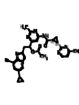 CC(=O)OC(Cc1cn2cc(C3CC3)cc(Br)c2n1)c1cc(NC(=O)[C@H]2C[C@@H]2c2nccc(C)n2)nc(C)n1